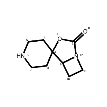 O=C1OC2(CCNCC2)C2CCN12